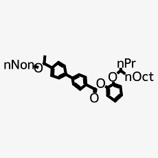 CCCCCCCCCOC(C)c1ccc(-c2ccc(C(=O)Oc3ccccc3OC(CCC)CCCCCCCC)cc2)cc1